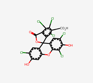 O=C(O)c1c(Cl)c(Cl)c2c(c1Cl)C1(OC2=O)c2cc(Cl)c(O)cc2Oc2c1cc(Cl)c(O)c2Cl